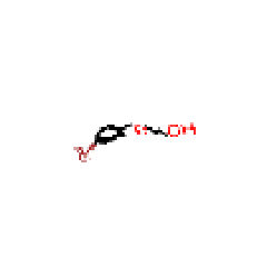 OCC=CCOCc1ccc(Br)cc1